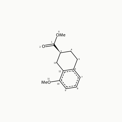 COC(=O)[C@H]1CCc2cccc(OC)c2C1